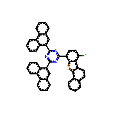 Clc1ccc(-c2nc(-c3cc4ccccc4c4ccccc34)nc(-c3cc4ccccc4c4ccccc34)n2)c2sc3c4ccccc4ccc3c12